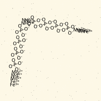 O=P([O-])([O-])[O-].O=P([O-])([O-])[O-].O=P([O-])([O-])[O-].O=P([O-])([O-])[O-].O=P([O-])([O-])[O-].O=P([O-])([O-])[O-].O=P([O-])([O-])[O-].O=P([O-])([O-])[O-].[Fe+3].[Fe+3].[Fe+3].[Mg+2].[Mg+2].[Mg+2].[Mn+2].[Mn+2].[Mn+2].[NH4+].[NH4+].[NH4+]